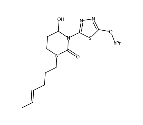 CC=CCCCN1CCC(O)N(c2nnc(OCCC)s2)C1=O